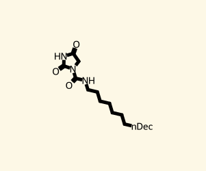 CCCCCCCCCCCCCCCCCNC(=O)N1CC(=O)NC1=O